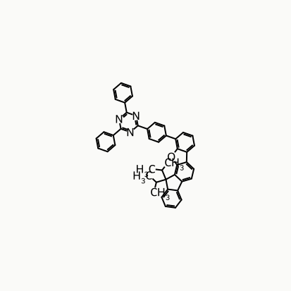 CC(C)C1(C(C)C)c2ccccc2-c2ccc3c(oc4c(-c5ccc(-c6nc(-c7ccccc7)nc(-c7ccccc7)n6)cc5)cccc43)c21